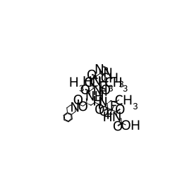 CCC[C@H](NC(=O)CC[C@H](CNC(=O)[C@@H](NC(=O)[C@@H](NC(=O)c1cnccn1)C(C)C)C(C)C)OC(=O)N1CCc2ccccc2C1)C(=O)C(F)(F)C(=O)NCC(=O)O